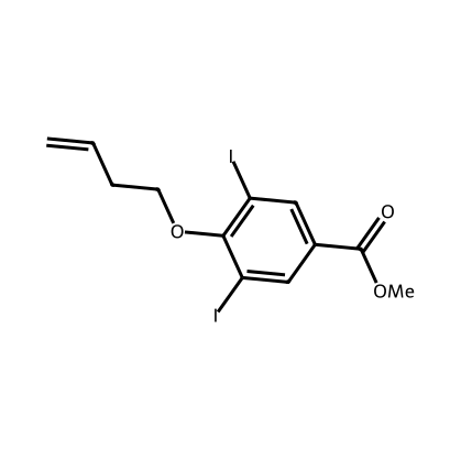 C=CCCOc1c(I)cc(C(=O)OC)cc1I